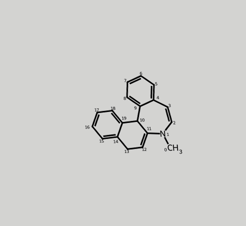 CN1C=Cc2ccccc2C2C1=CCc1ccccc12